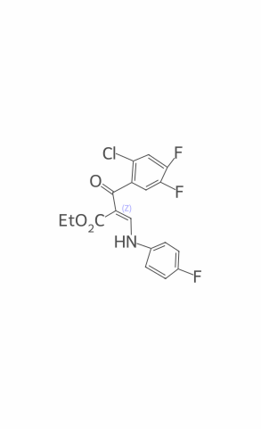 CCOC(=O)/C(=C\Nc1ccc(F)cc1)C(=O)c1cc(F)c(F)cc1Cl